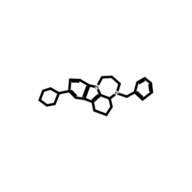 c1ccc(CN2CCCn3c4c(c5cc(C6CCCCC6)ccc53)CCCC42)cc1